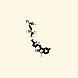 CCN(CC)CCNC(=O)COCc1ccc(/C=C2\C(=O)Nc3ccc(F)cc32)[se]1